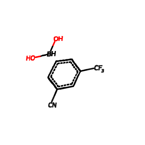 N#Cc1cccc(C(F)(F)F)c1.OBO